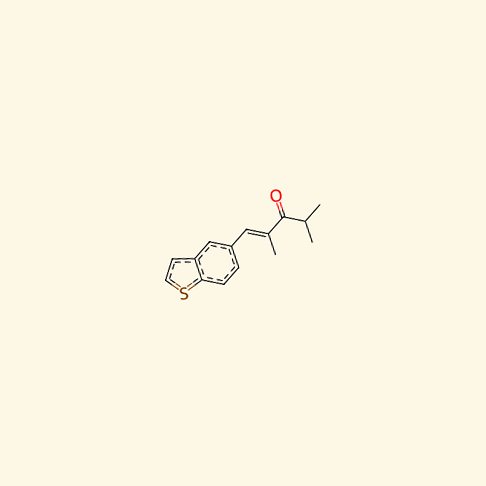 C/C(=C\c1ccc2sccc2c1)C(=O)C(C)C